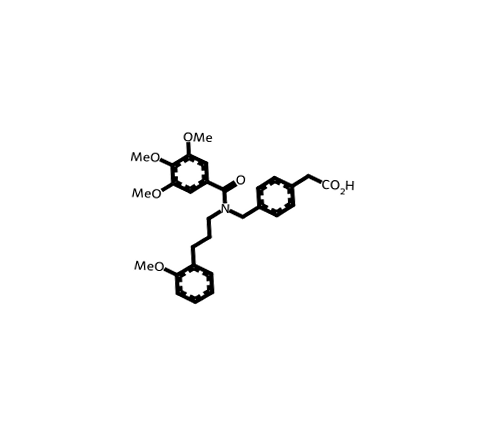 COc1ccccc1CCCN(Cc1ccc(CC(=O)O)cc1)C(=O)c1cc(OC)c(OC)c(OC)c1